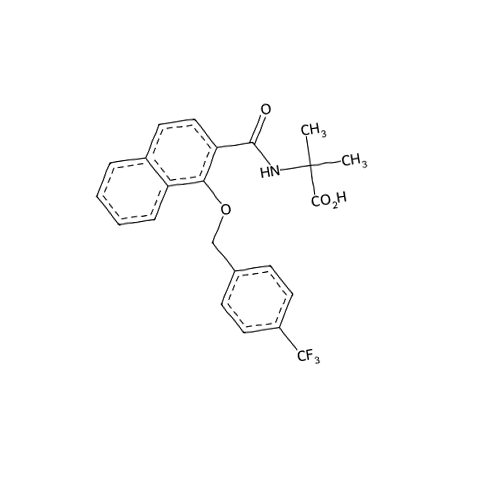 CC(C)(NC(=O)c1ccc2ccccc2c1OCc1ccc(C(F)(F)F)cc1)C(=O)O